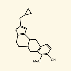 COc1c(O)ccc2c1CN1CCc3sc(CC4CC4)cc3C1C2